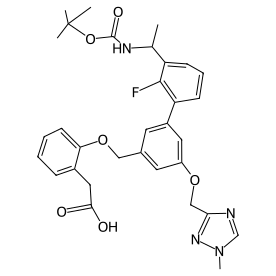 CC(NC(=O)OC(C)(C)C)c1cccc(-c2cc(COc3ccccc3CC(=O)O)cc(OCc3ncn(C)n3)c2)c1F